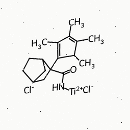 CC1=C(C)C(C)C(C2(C(=O)[NH][Ti+2])CC3CCC2C3)=C1C.[Cl-].[Cl-]